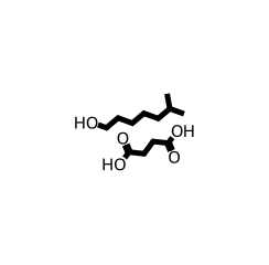 CC(C)CCCCCO.O=C(O)CCC(=O)O